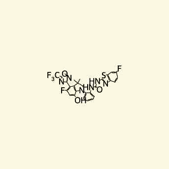 CC1(C)CN(c2ccccc2NC(=O)Nc2nc3ccc(F)cc3s2)c2c(O)cc(F)c(-c3noc(C(F)(F)F)n3)c21